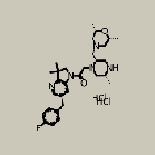 C[C@@H]1CN(CC(=O)N2CC(C)(C)c3ncc(Cc4ccc(F)cc4)cc32)[C@@H](CN2C[C@@H](C)O[C@@H](C)C2)CN1.Cl.Cl